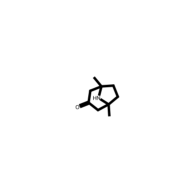 CC12CCC(C)(CC(=O)C1)N2